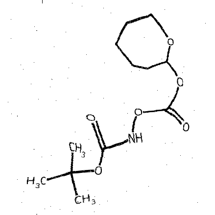 CC(C)(C)OC(=O)NOC(=O)OC1CCCCO1